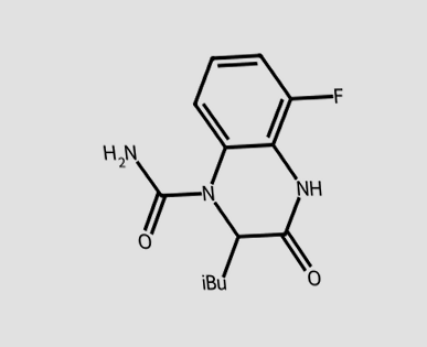 CCC(C)C1C(=O)Nc2c(F)cccc2N1C(N)=O